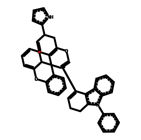 C1=CCC2C(=C1)Oc1ccccc1C21C2=C(CCC(C3=CCCc4c3c3ccccc3n4-c3ccccc3)=C2)OC2=C1C=CC(c1ccc[nH]1)C2